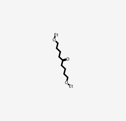 CCOCCCCC(=O)CCCCOCC